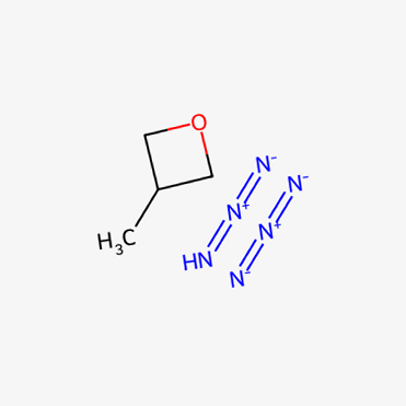 CC1COC1.[N-]=[N+]=N.[N-]=[N+]=[N-]